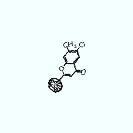 Cc1cc2oc([C]34[CH]5[CH]6[CH]7[CH]3[Fe]6754389%10[CH]4[CH]3[CH]8[CH]9[CH]4%10)cc(=O)c2cc1Cl